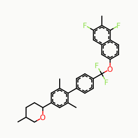 Cc1cc(C2CCC(C)CO2)cc(C)c1-c1ccc(C(F)(F)Oc2ccc3c(F)c(C)c(F)cc3c2)cc1